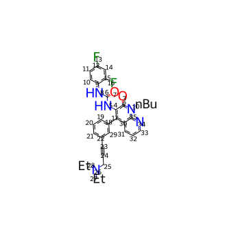 CCCCn1c(=O)c(NC(=O)Nc2ccc(F)cc2F)c(-c2cccc(C#CCN(CC)CC)c2)c2cccnc21